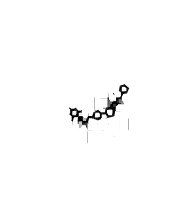 Cc1cc(C)c(S(=O)(=O)N[C@H](Cc2ccc(-c3cccc(NC(=O)NCc4ccccc4)c3)cc2)C(=O)O)c(C)c1